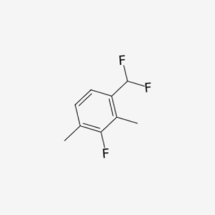 Cc1ccc(C(F)F)c(C)c1F